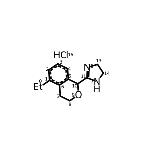 CCc1cccc2c1CCOC2C1=NCCN1.Cl